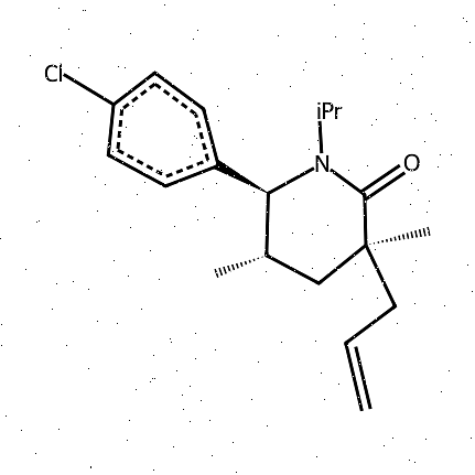 C=CC[C@@]1(C)C[C@H](C)[C@@H](c2ccc(Cl)cc2)N(C(C)C)C1=O